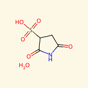 O.O=C1CC(S(=O)(=O)O)C(=O)N1